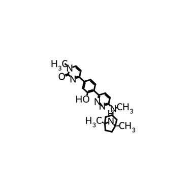 CN(c1ccc(-c2ccc(-c3ccn(C)c(=O)n3)cc2O)nn1)[C@H]1C[C@]2(C)CC[C@](C)(C1)N2